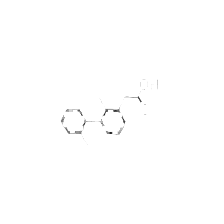 Cc1ccccc1-c1cccc(CC(=O)O)c1C